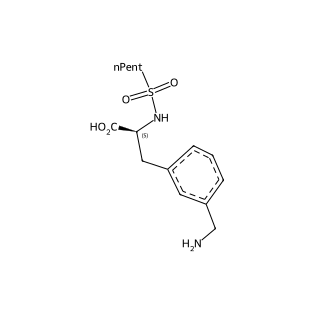 CCCCCS(=O)(=O)N[C@@H](Cc1cccc(CN)c1)C(=O)O